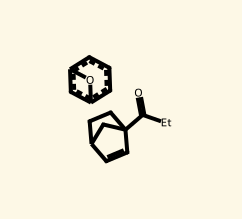 CCC(=O)C12C=CC(CC1)C2.c1cc2cc(c1)O2